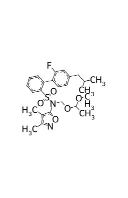 COC(C)OCN(c1onc(C)c1C)S(=O)(=O)c1ccccc1-c1ccc(CC(C)C)cc1F